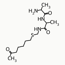 CC(=O)CCCCCSCNC(=O)C(C)NC(=O)C(C)N